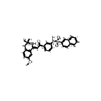 COc1ccc2c(c1)/C(=C/C(=O)c1cccc(NS(=O)(=O)c3ccc4ccccc4c3)c1)NC(C)(C)C2